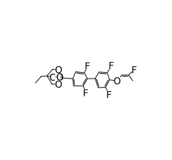 CCC12COC(c3cc(F)c(-c4cc(F)c(O/C=C(\C)F)c(F)c4)c(F)c3)(OC1)OC2